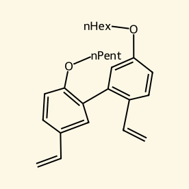 C=Cc1ccc(OCCCCC)c(-c2cc(OCCCCCC)ccc2C=C)c1